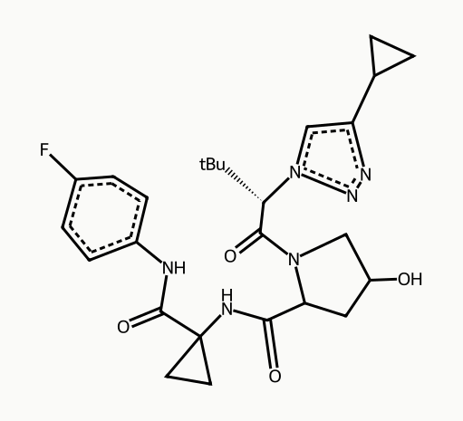 CC(C)(C)[C@@H](C(=O)N1CC(O)CC1C(=O)NC1(C(=O)Nc2ccc(F)cc2)CC1)n1cc(C2CC2)nn1